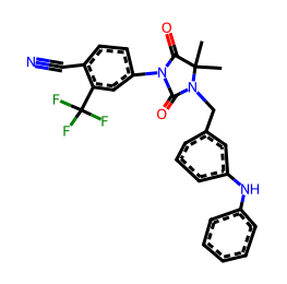 CC1(C)C(=O)N(c2ccc(C#N)c(C(F)(F)F)c2)C(=O)N1Cc1cccc(Nc2ccccc2)c1